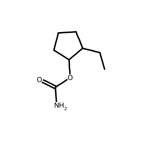 CCC1CCCC1OC(N)=O